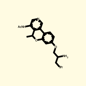 CC(=O)Nc1cncc2c1C(C)Oc1cc(OCC(N)CC(C)C)ccc1-2